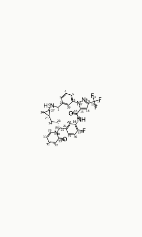 NCc1cccc(-n2nc(C(F)(F)F)cc2C(=O)Nc2cc([C@@H](CCC3CC3)n3ccccc3=O)ccc2F)c1